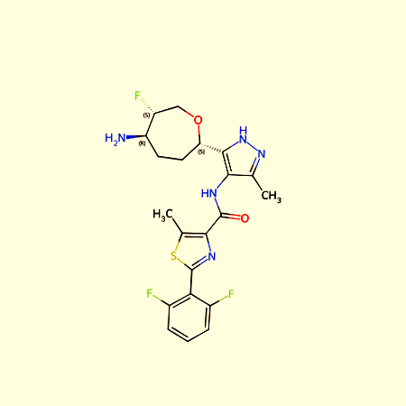 Cc1n[nH]c([C@@H]2CC[C@@H](N)[C@H](F)CO2)c1NC(=O)c1nc(-c2c(F)cccc2F)sc1C